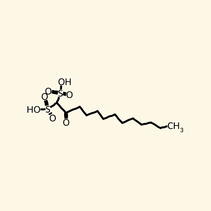 CCCCCCCCCCCC(=O)C(S(=O)(=O)O)S(=O)(=O)O